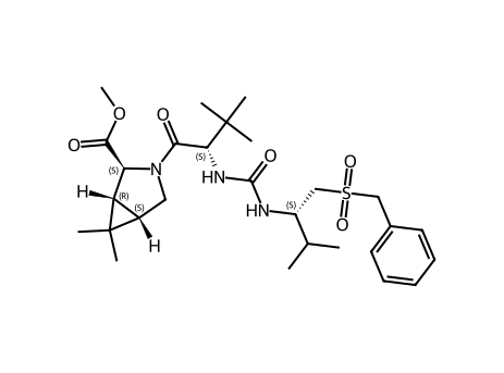 COC(=O)[C@@H]1[C@@H]2[C@H](CN1C(=O)[C@@H](NC(=O)N[C@H](CS(=O)(=O)Cc1ccccc1)C(C)C)C(C)(C)C)C2(C)C